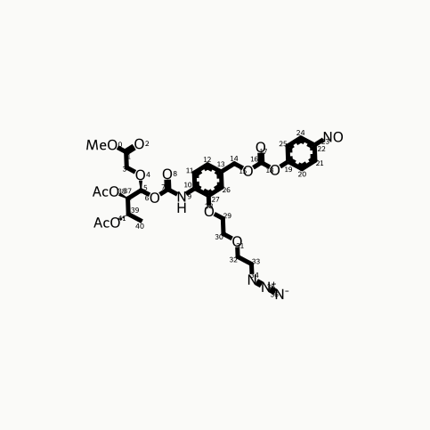 COC(=O)CO[C@@H](OC(=O)Nc1ccc(COC(=O)Oc2ccc(N=O)cc2)cc1OCCOCCN=[N+]=[N-])[C@H](OC(C)=O)[C@H](C)OC(C)=O